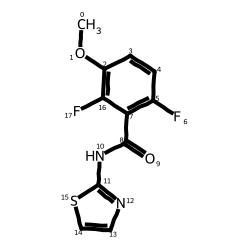 COc1ccc(F)c(C(=O)Nc2nccs2)c1F